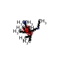 CCCCCC/C=C\CCCCCC(OC(=O)CC(CCCC)CCCC)C(COC(=O)CC(CCCC)CCCC)(CC(C)COC(=O)CCCN(C)C)C(=O)O